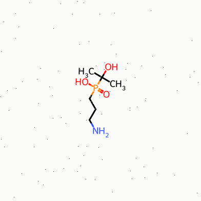 CC(C)(O)P(=O)(O)CCCN